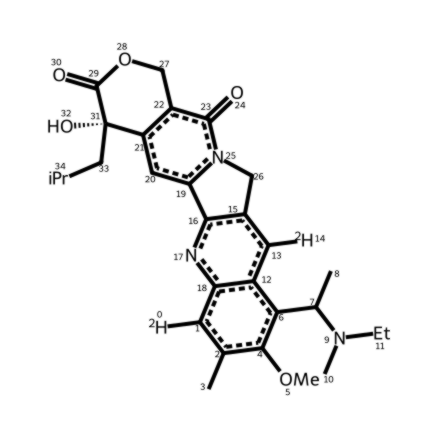 [2H]c1c(C)c(OC)c(C(C)N(C)CC)c2c([2H])c3c(nc12)-c1cc2c(c(=O)n1C3)COC(=O)[C@]2(O)CC(C)C